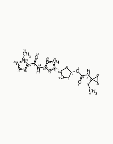 CCC1(NC(=O)O[C@@H]2CO[C@H](c3cc(NC(=O)c4ccnn4C)n[nH]3)C2)CC1